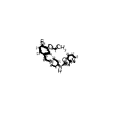 CCOc1cc(CN2CCC(Nc3nc4ncccc4o3)CC2)ccc1F